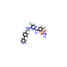 CNS(=O)(=O)c1cc(Nc2ncc(F)c(NCCc3ccc(-c4ccncc4)cc3)n2)ccc1C